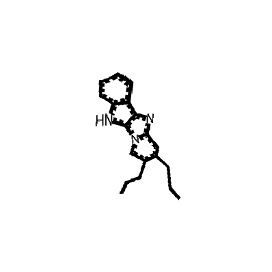 CCCc1cc2nc3c4ccccc4[nH]c3n2cc1CCC